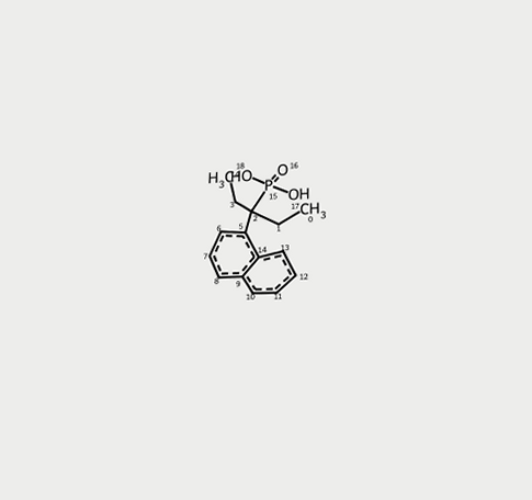 CCC(CC)(c1cccc2ccccc12)P(=O)(O)O